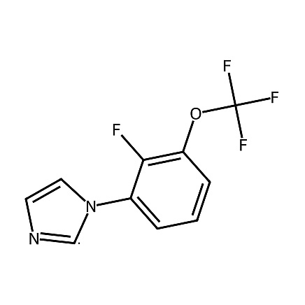 Fc1c(OC(F)(F)F)cccc1-n1[c]ncc1